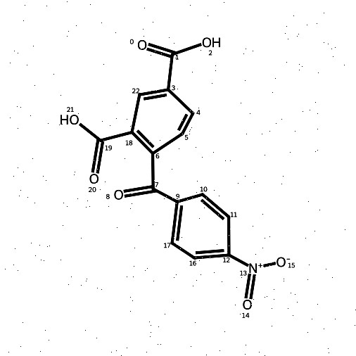 O=C(O)c1ccc(C(=O)c2ccc([N+](=O)[O-])cc2)c(C(=O)O)c1